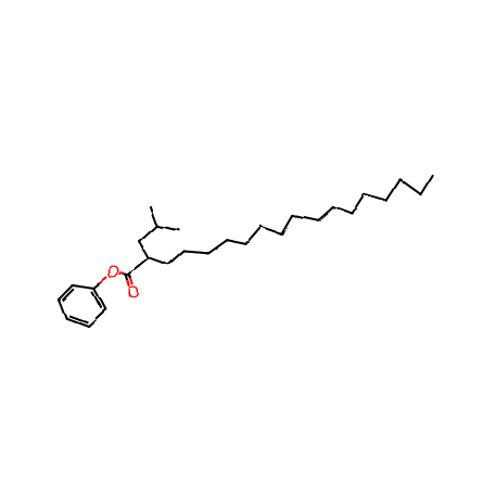 CCCCCCCCCCCCCCCCC(CC(C)C)C(=O)Oc1ccccc1